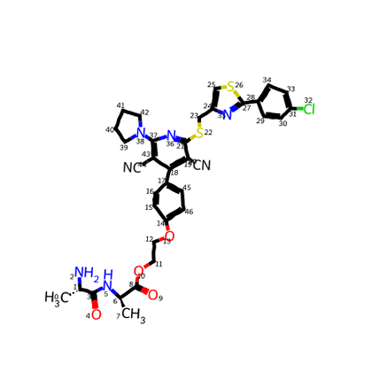 C[C@H](N)C(=O)N[C@H](C)C(=O)OCCOc1ccc(-c2c(C#N)c(SCc3csc(-c4ccc(Cl)cc4)n3)nc(N3CCCC3)c2C#N)cc1